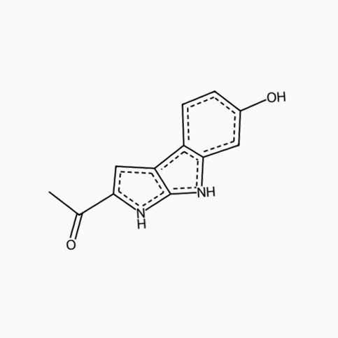 CC(=O)c1cc2c([nH]1)[nH]c1cc(O)ccc12